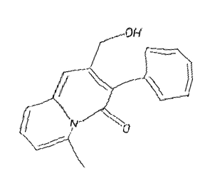 Cc1cccc2cc(CO)c(-c3ccccc3)c(=O)n12